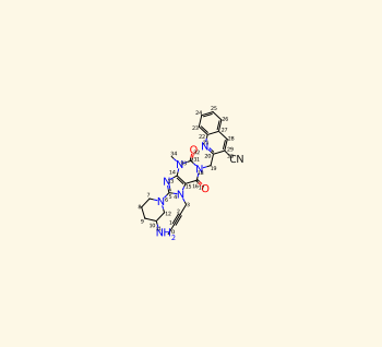 CC#CCn1c(N2CCCC(N)C2)nc2c1c(=O)n(Cc1nc3ccccc3cc1C#N)c(=O)n2C